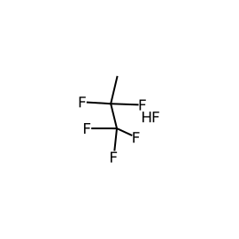 CC(F)(F)C(F)(F)F.F